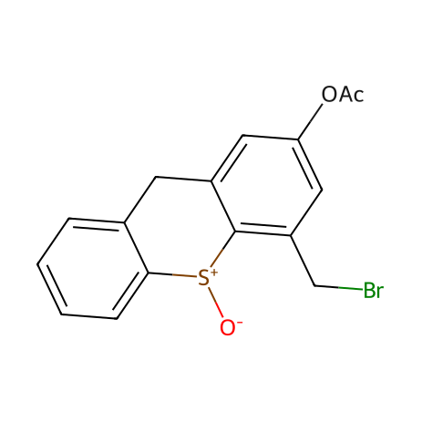 CC(=O)Oc1cc(CBr)c2c(c1)Cc1ccccc1[S+]2[O-]